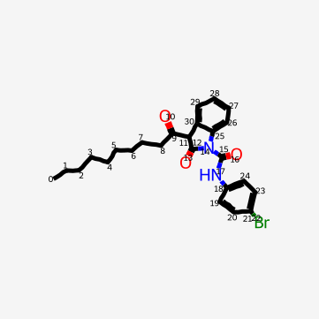 CCCCCCCCCC(=O)C1C(=O)N(C(=O)Nc2ccc(Br)cc2)c2ccccc21